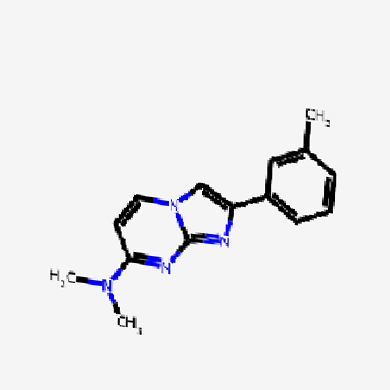 Cc1cccc(-c2cn3ccc(N(C)C)nc3n2)c1